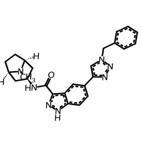 CN1[C@@H]2CC[C@H]1C[C@@H](NC(=O)c1n[nH]c3ccc(-c4cn(Cc5ccccc5)nn4)cc13)C2